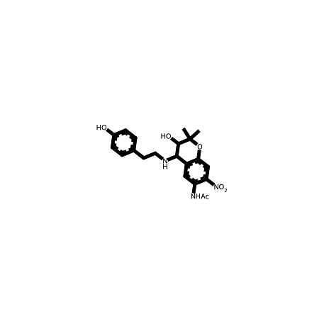 CC(=O)Nc1cc2c(cc1[N+](=O)[O-])OC(C)(C)C(O)C2NCCc1ccc(O)cc1